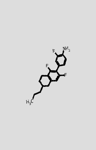 CCCC1CCc2c(cc(F)c(-c3ccc(N)c(F)c3)c2F)C1